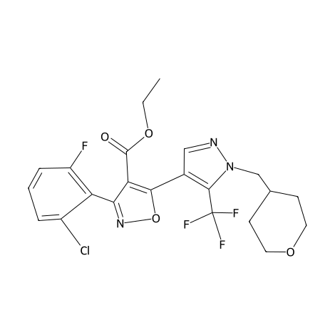 CCOC(=O)c1c(-c2c(F)cccc2Cl)noc1-c1cnn(CC2CCOCC2)c1C(F)(F)F